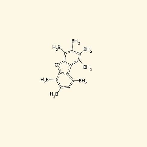 Bc1cc(B)c2c(oc3c(B)c(B)c(B)c(B)c32)c1B